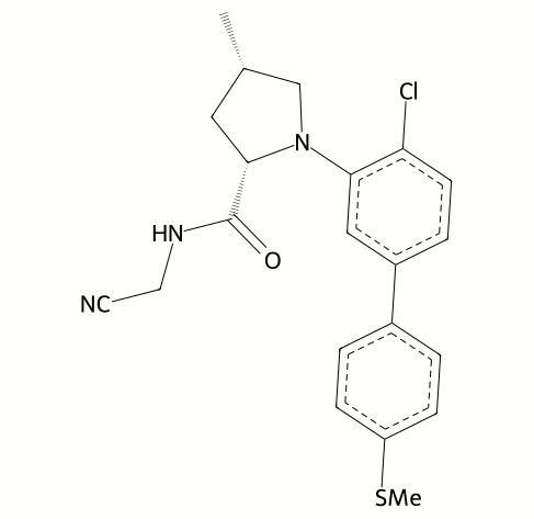 CSc1ccc(-c2ccc(Cl)c(N3C[C@@H](C)C[C@H]3C(=O)NCC#N)c2)cc1